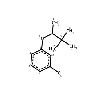 Cc1cccc(OC(C)C(C)(C)C)c1